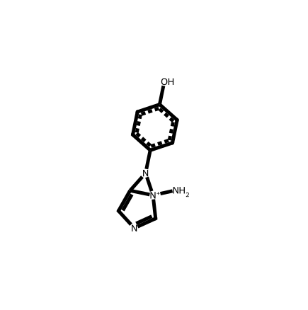 N[N+]12C=NC=C1N2c1ccc(O)cc1